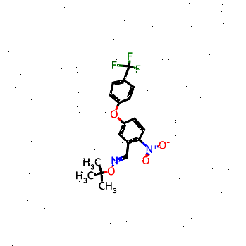 CC(C)(C)ON=Cc1cc(Oc2ccc(C(F)(F)F)cc2)ccc1[N+](=O)[O-]